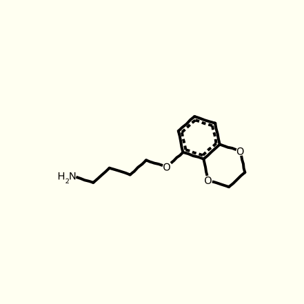 NCCCCOc1cccc2c1OCCO2